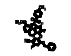 COc1ccc(CSc2c(Oc3cc(C#N)c(F)cc3OCc3ccccc3)c(F)c(F)c3c2ccn3S(=O)(=O)c2ccc(C)cc2)cc1